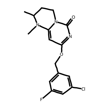 CC1CCn2c(cc(OCc3cc(F)cc(Cl)c3)nc2=O)N1C